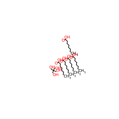 CCCCCCCC(=O)O.CCCCCCCC(=O)O.CCCCCCCC(=O)O.CCCCCCCC(=O)O.CCCCCCCC(=O)O.OCC(CO)(CO)CO